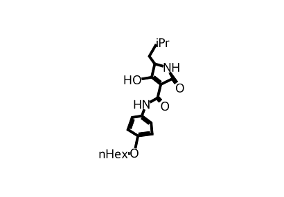 CCCCCCOc1ccc(NC(=O)C2=C(O)C(CC(C)C)NC2=O)cc1